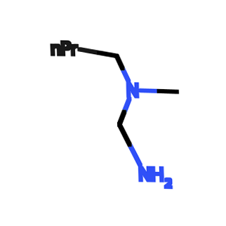 CCCCN(C)CN